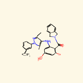 Cc1nn(-c2cccc(C(F)(F)F)c2)c(C)c1Nc1cc(O)cc(O)c1C(=O)N1Cc2ccccc2C1